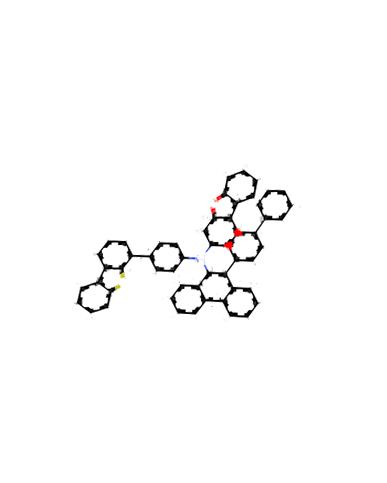 c1ccc(-c2ccc(-c3c(N(c4ccc(-c5cccc6c5sc5ccccc56)cc4)c4ccc5c(c4)oc4ccccc45)c4ccccc4c4ccccc34)cc2)cc1